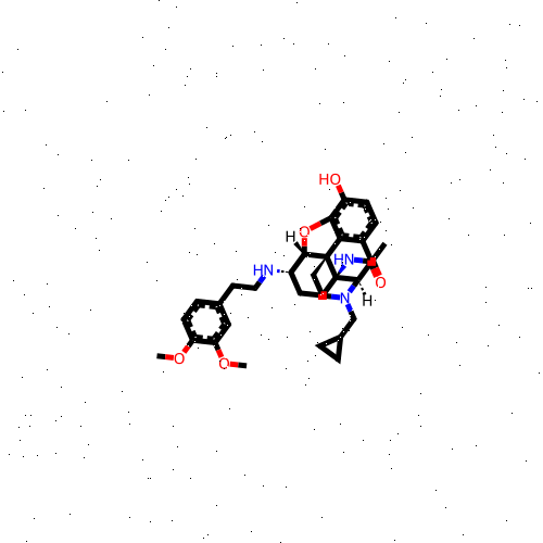 COc1ccc(CCN[C@H]2CC[C@@]3(NC(C)=O)[C@H]4Cc5ccc(O)c6c5[C@@]3(CCN4CC3CC3)[C@H]2O6)cc1OC